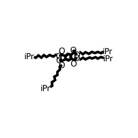 CC(C)CCCCCCCCOC(=O)c1cc(C(=O)OCCCCCCCCC(C)C)c(C(=O)OCCCCCCCCC(C)C)cc1C(=O)OCCCCCCCCC(C)C